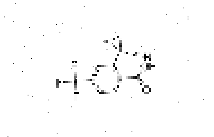 CC1CC1(C#N)c1cc(C(F)(F)F)ccc1C(=O)O